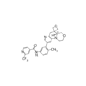 Cc1ccc(NC(=O)c2ccnc(C(F)(F)F)c2)cc1-c1cnc2c(c1)N1CCOC[C@H]1C1(COC1)C2